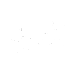 Clc1c(Cl)c(Cl)c(N=C=Nc2c(Cl)c(Cl)c(Cl)c(Cl)c2Cl)c(Cl)c1Cl